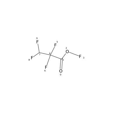 O=C(OF)C(F)(F)C(F)F